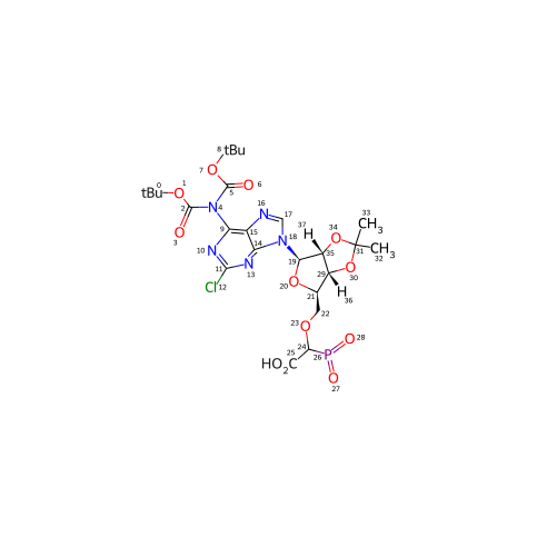 CC(C)(C)OC(=O)N(C(=O)OC(C)(C)C)c1nc(Cl)nc2c1ncn2[C@@H]1O[C@H](COC(C(=O)O)P(=O)=O)[C@H]2OC(C)(C)O[C@H]21